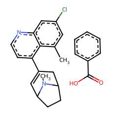 Cc1cc(Cl)cc2nccc(C3=CC4CCC(C3)N4C)c12.O=C(O)c1ccccc1